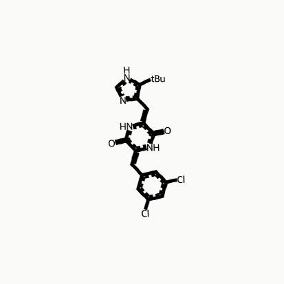 CC(C)(C)c1[nH]cnc1/C=c1\[nH]c(=O)/c(=C/c2cc(Cl)cc(Cl)c2)[nH]c1=O